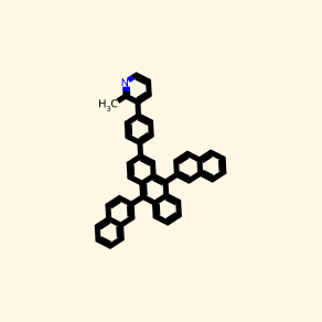 Cc1ncccc1-c1ccc(-c2ccc3c(-c4ccc5ccccc5c4)c4ccccc4c(-c4ccc5ccccc5c4)c3c2)cc1